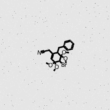 COC1(OC)C=C(CC#N)C(Cc2ccccc2)C(OC)(OC)C1Br